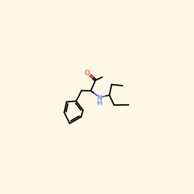 CCC(CC)NC(Cc1ccccc1)C(C)=O